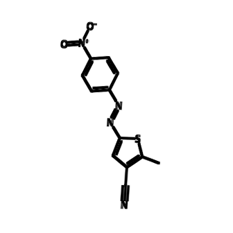 Cc1sc(N=Nc2ccc([N+](=O)[O-])cc2)cc1C#N